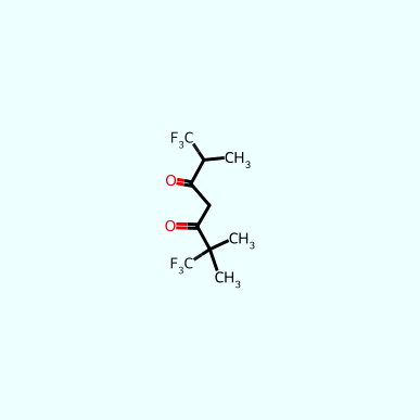 CC(C(=O)CC(=O)C(C)(C)C(F)(F)F)C(F)(F)F